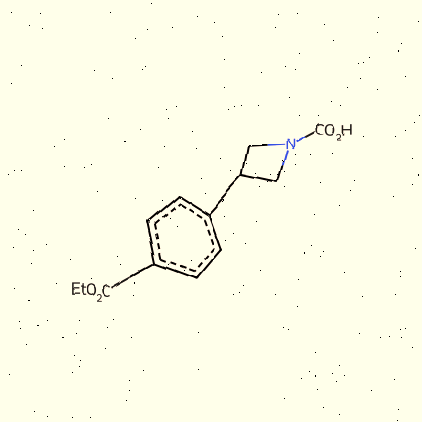 CCOC(=O)c1ccc(C2CN(C(=O)O)C2)cc1